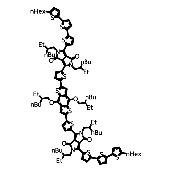 CCCCCCc1ccc(-c2ccc(-c3ccc(C4=C5C(=O)N(CC(CC)CCCC)C(c6ccc(-c7cc8c(OCC(CC)CCCC)c9sc(-c%10ccc(C%11=C%12C(=O)N(CC(CC)CCCC)C(c%13ccc(-c%14ccc(-c%15ccc(CCCCCC)s%15)s%14)s%13)=C%12C(=O)N%11CC(CC)CCCC)s%10)cc9c(OCC(CC)CCCC)c8s7)s6)=C5C(=O)N4CC(CC)CCCC)s3)s2)s1